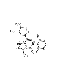 C=C(/C=C(/C)N(C)C)c1cn(-c2c(F)cccc2F)c(=O)c2c(N)n[nH]c12